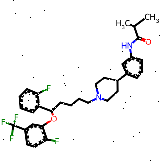 CC(C)C(=O)Nc1cccc(C2CCN(CCCCC(Oc3cc(C(F)(F)F)ccc3F)c3ccccc3F)CC2)c1